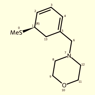 CS[C@H]1C=CC=C(CN2CCOCC2)C1